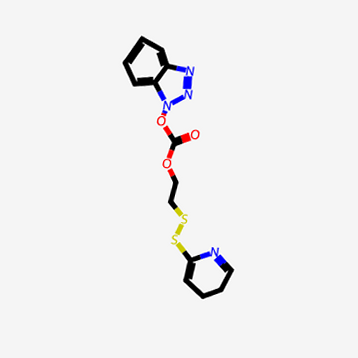 O=C(OCCSSC1=CCCC=N1)On1nnc2ccccc21